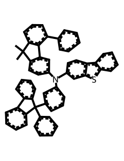 CC1(C)c2ccc(N(c3cccc(C4(c5ccccc5)c5ccccc5-c5ccccc54)c3)c3ccc4c(c3)sc3ccccc34)cc2-c2c(-c3ccccc3)cccc21